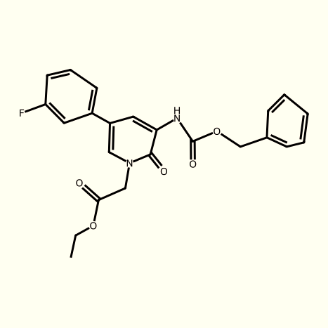 CCOC(=O)Cn1cc(-c2cccc(F)c2)cc(NC(=O)OCc2ccccc2)c1=O